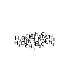 CN(C)C(=Nc1ccccc1-c1ccccc1N=C(N(C)C)N(C)C)N(C)C